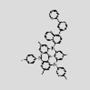 Cc1ccc(N2c3cc(C)cc4c3P3c5c2cc(C)cc5N(c2ccc(-c5cccc(-c6ccccc6)c5)c5ccccc25)c2cc(C)cc(c23)N4c2ccc(C)cc2)cc1